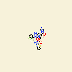 CN(C(=O)NCc1cccc(F)c1Cl)[C@H](CCC(=O)N1CCNCC1)COC(=O)Nc1nc2ccccc2s1